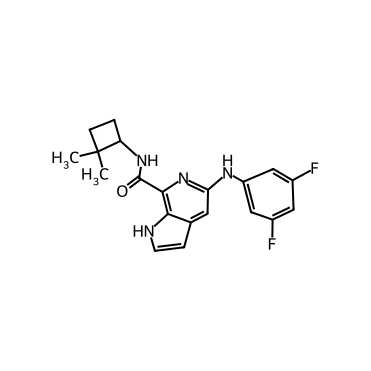 CC1(C)CCC1NC(=O)c1nc(Nc2cc(F)cc(F)c2)cc2cc[nH]c12